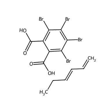 C=CC=CCC.O=C(O)c1c(Br)c(Br)c(Br)c(Br)c1C(=O)O